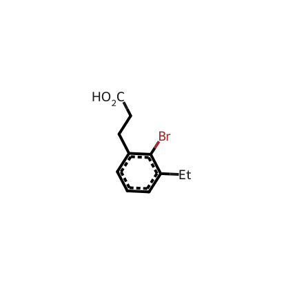 CCc1cccc(CCC(=O)O)c1Br